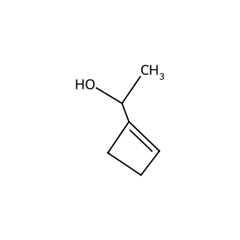 CC(O)C1=CCC1